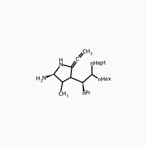 C=C=C1N[C@H](N)C(C)C1[C@H](CCC)C(CCCCCC)CCCCCCC